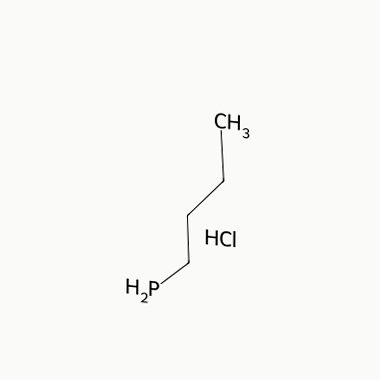 CCCCP.Cl